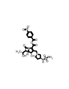 C[C@@H](O)[C@H]1C(=O)N2C(C(=O)OC(=O)c3ccc([N+](=O)[O-])cc3)=C(CN3CC[C@H](NS(N)(=O)=O)C3)[C@H](C)[C@H]12